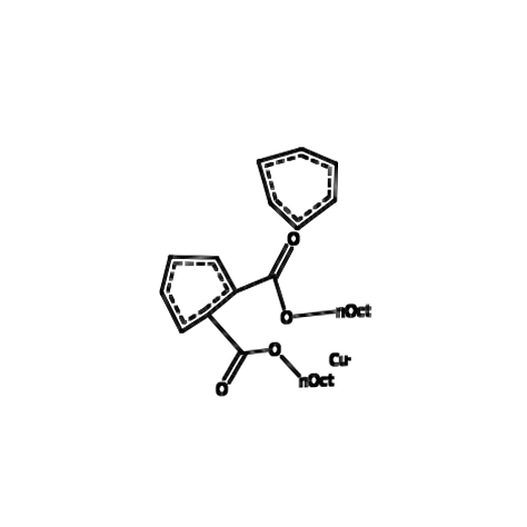 CCCCCCCCOC(=O)c1ccccc1C(=O)OCCCCCCCC.[Cu].c1ccccc1